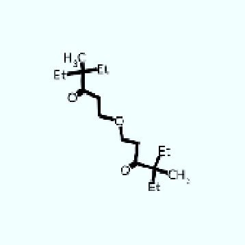 CCC(C)(CC)C(=O)CCOCCC(=O)C(C)(CC)CC